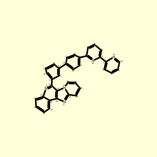 c1ccc(-c2cccc(-c3ccc(-c4cccc(-c5nc6ccccc6c6nc7ccccn7c56)c4)cc3)n2)nc1